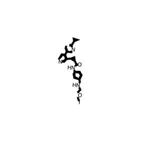 C=C(/N=C\C(=C/C)c1ccncc1C1CC1C(=O)Nc1ccc(CNCCOCI)cc1)C1CC1